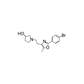 Cc1oc(-c2ccc(Br)cc2)nc1CCN1CC[C@@H](O)C1